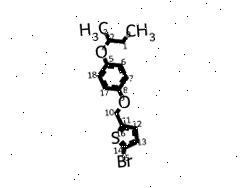 CCC(C)Oc1ccc(OCc2ccc(Br)s2)cc1